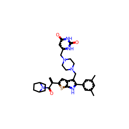 C=C(C(=O)N1C2CCC1CC2)c1cc2c(CN3CCN(Cc4cc(=O)[nH]c(=O)[nH]4)CC3)c(-c3cc(C)cc(C)c3)[nH]c2s1